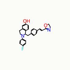 Oc1ccc2c(c1)CCN(c1ccc(F)cc1)C2Cc1ccc(/C=C/C2=NCCO2)cc1